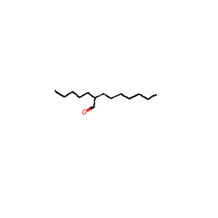 CCCCCCCC([C]=O)CCCCC